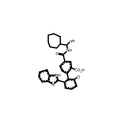 CCCC(NC(=O)c1ccc(-c2c(Cl)cccc2-c2nc3ccccc3[nH]2)c(C(=O)O)c1)C1CCCCCC1